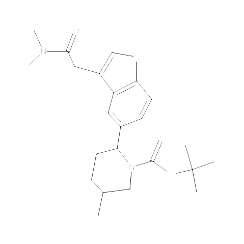 CC1CCC(c2ccc3scc(CC(=O)N(C)C)c3c2)N(C(=O)OC(C)(C)C)C1